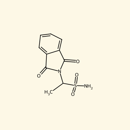 CC(N1C(=O)c2ccccc2C1=O)S(N)(=O)=O